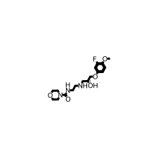 COc1ccc(OC[C@@H](O)CNCCNC(=O)N2CCOCC2)cc1F